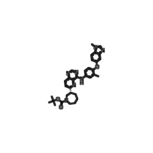 Cc1cc(Nc2ncnc3ccc([C@@H]4CCCCN(C(=O)OC(C)(C)C)C4)nc23)ccc1Oc1ccc2c(c1)ncn2C